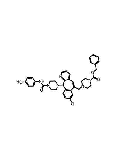 N#Cc1ccc(NC(=O)N2CCN(C3c4ccc(Cl)cc4C(CN4CCN(C(=O)OCc5ccccc5)CC4)=Cc4cccnc43)CC2)cc1